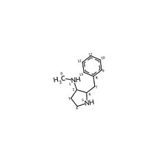 CNC1CCNC1Cc1ccccc1